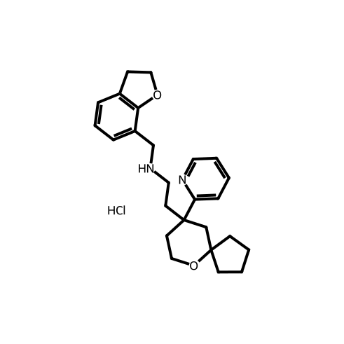 Cl.c1ccc(C2(CCNCc3cccc4c3OCC4)CCOC3(CCCC3)C2)nc1